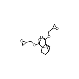 O=C(OCC1CO1)C1=CC2CCC1(C(=O)OCC1CO1)C2